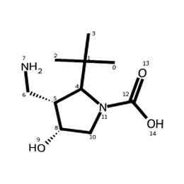 CC(C)(C)C1[C@@H](CN)[C@@H](O)CN1C(=O)O